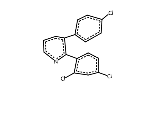 Clc1ccc(-c2cccnc2-c2ccc(Cl)cc2Cl)cc1